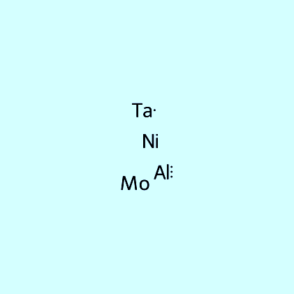 [Al].[Mo].[Ni].[Ta]